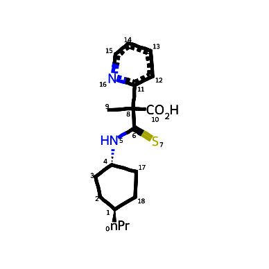 CCC[C@H]1CC[C@H](NC(=S)C(C)(C(=O)O)c2ccccn2)CC1